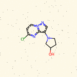 OC1CCN(c2cnn3ccc(Cl)nc23)C1